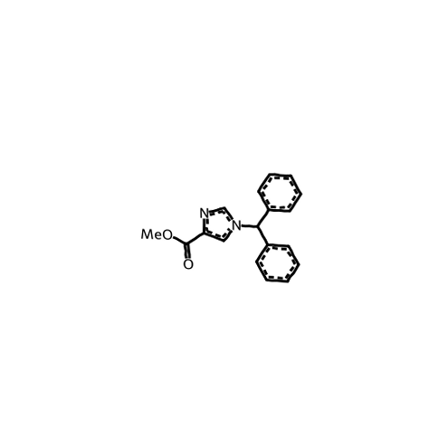 COC(=O)c1cn(C(c2ccccc2)c2ccccc2)cn1